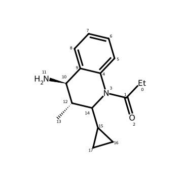 CCC(=O)N1c2ccccc2[C@H](N)[C@@H](C)C1C1CC1